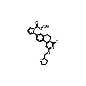 CC(C)(C)OC(=O)n1cccc1-c1ccc2c(c1)CCn1c-2cc(OCC2CCCO2)nc1=O